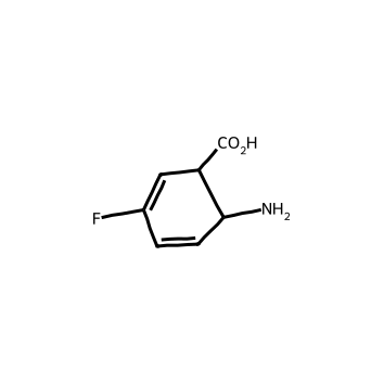 NC1C=CC(F)=CC1C(=O)O